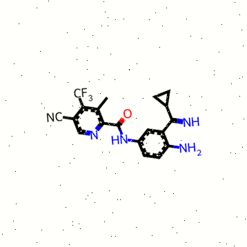 Cc1c(C(=O)Nc2ccc(N)c(C(=N)C3CC3)c2)ncc(C#N)c1C(F)(F)F